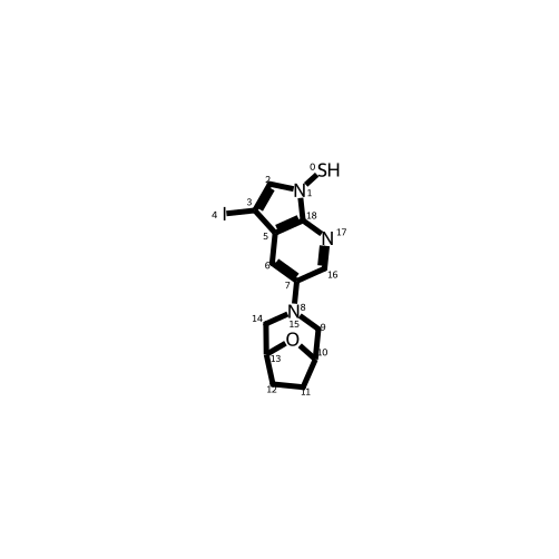 Sn1cc(I)c2cc(N3CC4CCC(C3)O4)cnc21